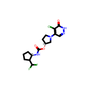 O=C(N[C@@H]1CCCC1C(F)F)O[C@@H]1CCN(c2cn[nH]c(=O)c2Cl)C1